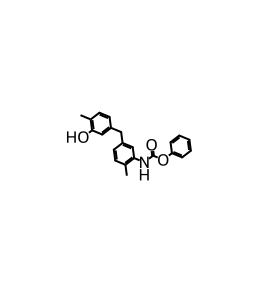 Cc1ccc(Cc2ccc(C)c(NC(=O)Oc3ccccc3)c2)cc1O